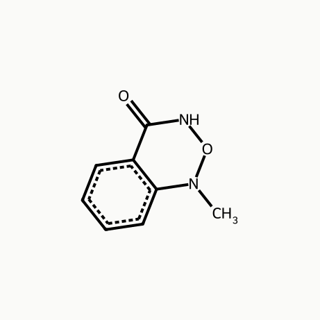 CN1ONC(=O)c2ccccc21